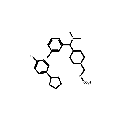 CN(C)C(c1cccc(F)c1)C1CCC(CNC(=O)O)CC1.Clc1ccc(C2CCCC2)cc1